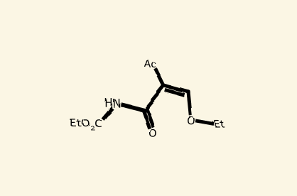 CCOC=C(C(C)=O)C(=O)NC(=O)OCC